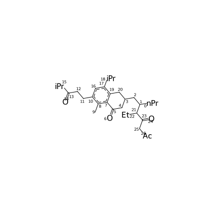 CCCC(CC1CC(=O)c2c(C)c(CCC(=O)C(C)C)cc(C(C)C)c2C1)C(CC)C(=O)CC(C)=O